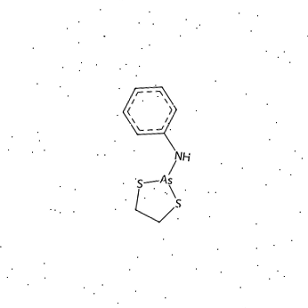 c1ccc(N[As]2SCCS2)cc1